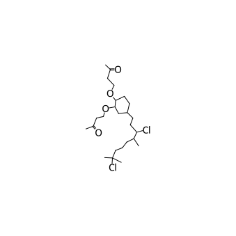 CC(=O)CCOC1CCC(CCC(Cl)C(C)CCCC(C)(C)Cl)CC1OCCC(C)=O